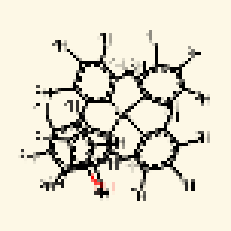 [2H]c1c([2H])c([2H])c([Si](c2c([2H])c([2H])c([2H])c([2H])c2[2H])(c2c([2H])c([2H])c([2H])c([2H])c2[2H])c2c([2H])c([2H])c([2H])c([2H])c2-c2c([2H])c([2H])c([2H])c(O)c2[2H])c([2H])c1[2H]